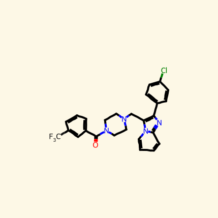 O=C(c1cccc(C(F)(F)F)c1)N1CCN(Cc2c(-c3ccc(Cl)cc3)nc3ccccn23)CC1